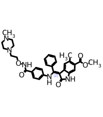 COC(=O)c1cc2c(cc1C)/C(=C(/Nc1ccc(C(=O)NOCCN3CCN(C)CC3)cc1)c1ccccc1)C(=O)N2